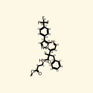 COC(=O)CCNC(=O)C(C)(Cc1ccccc1)c1ccnc2c(-c3ccc(C(F)(F)F)cc3)cnn12